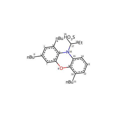 CCCCc1cc(CCCC)c2c(c1)Oc1c(CCCC)cccc1N2C(CC)S(=O)(=O)O